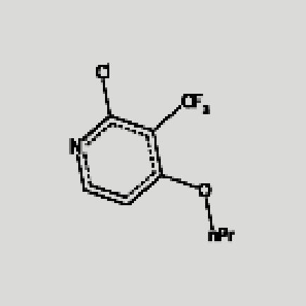 CCCOc1ccnc(Cl)c1C(F)(F)F